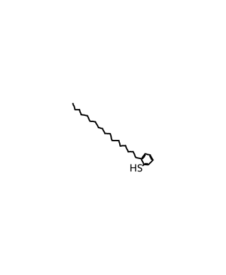 CCCCCCCCCCCCCCCCCCc1ccccc1S